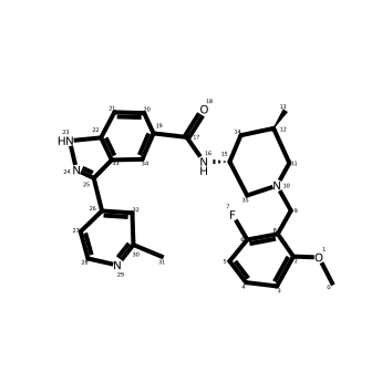 COc1cccc(F)c1CN1C[C@H](C)C[C@@H](NC(=O)c2ccc3[nH]nc(-c4ccnc(C)c4)c3c2)C1